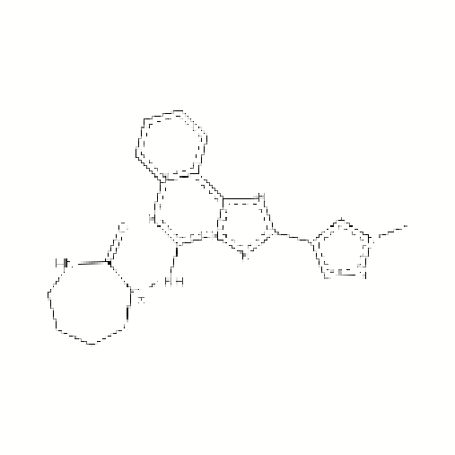 Cn1cc(-c2nc3c4ccccc4nc(N[C@@H]4CCCCNC4=O)n3n2)cn1